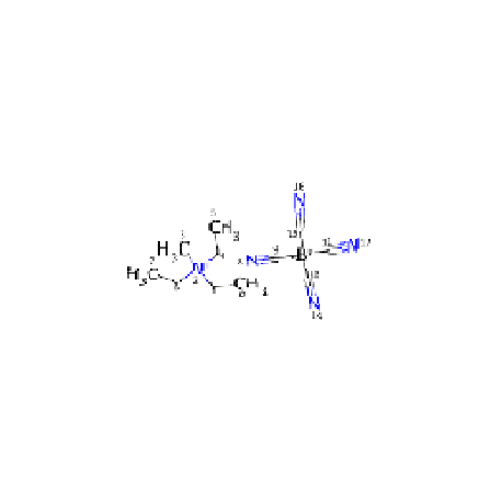 CC[N+](C)(CC)CC.N#C[B-](C#N)(C#N)C#N